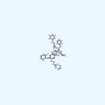 NC(=O)C[C@@H](NC(=O)[C@@H](Cc1ccccc1)NC(=O)CCCN1CCOCC1)C(=O)NC(Cc1ccccc1)C1OC1CCc1ccccc1